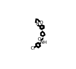 O=C(C[C@H]1CC[C@@H](c2cccc(CN3CCCC3=O)c2)CC1)Nc1ccc(Cl)cc1